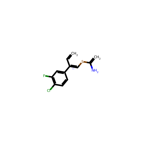 C=C/C(=C\SC(=C)N)c1ccc(Cl)c(F)c1